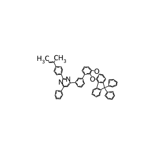 C/C=C(\C)c1ccc(-c2nc(-c3ccccc3)cc(-c3cccc(-c4cccc5c4Oc4c(ccc6c4-c4ccccc4C6(c4ccccc4)c4ccccc4)O5)c3)n2)cc1